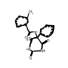 Cc1cccc(C(=O)NC2(c3ccccc3)C(=O)NC(=O)NC2=O)c1